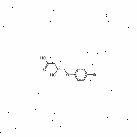 O=C(O)C[C@H](O)COc1ccc(Br)cc1